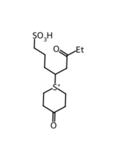 CCC(=O)CC(CCCS(=O)(=O)O)[S+]1CCC(=O)CC1